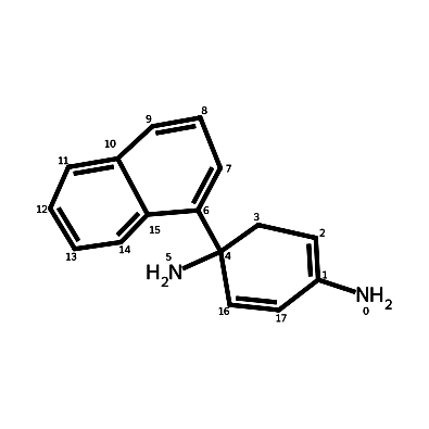 NC1=CCC(N)(c2cccc3ccccc23)C=C1